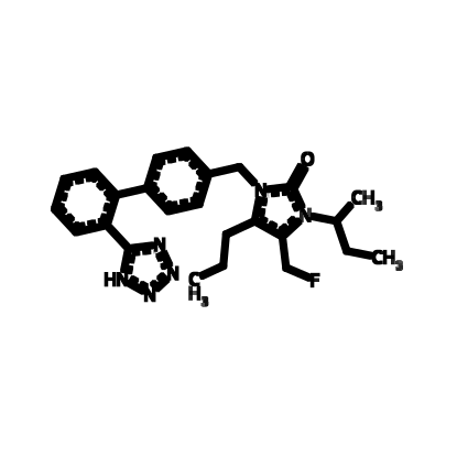 CCCc1c(CF)n(C(C)CC)c(=O)n1Cc1ccc(-c2ccccc2-c2nnn[nH]2)cc1